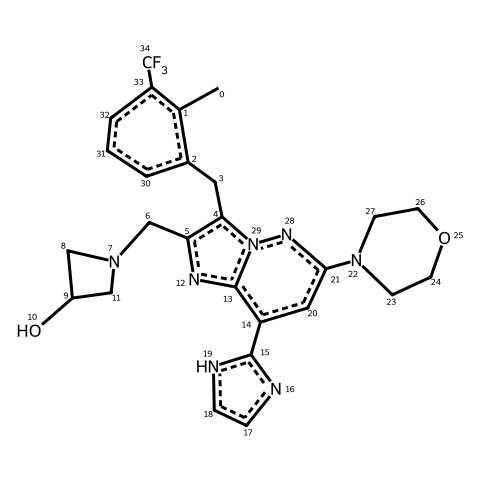 Cc1c(Cc2c(CN3CC(O)C3)nc3c(-c4ncc[nH]4)cc(N4CCOCC4)nn23)cccc1C(F)(F)F